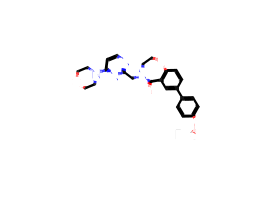 O=C1c2cc(-c3ccc(OC(F)(F)F)cc3)ccc2OCCN1Cc1nccc(N2CCOCC2)n1